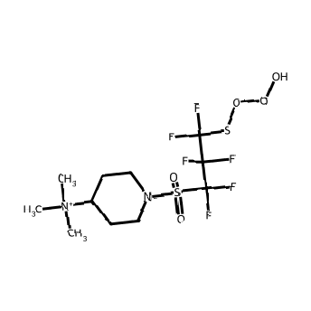 C[N+](C)(C)C1CCN(S(=O)(=O)C(F)(F)C(F)(F)C(F)(F)SOOO)CC1